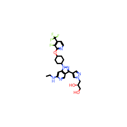 CCNc1cc2c(cn1)c(-c1cnn(C[C@H](O)CO)c1)nn2C1CCC(Oc2nccc(C(F)(F)F)c2F)CC1